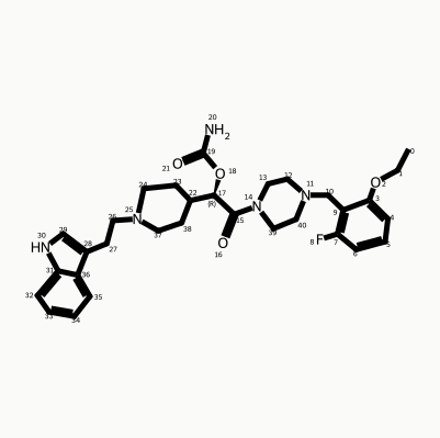 CCOc1cccc(F)c1CN1CCN(C(=O)[C@H](OC(N)=O)C2CCN(CCc3c[nH]c4ccccc34)CC2)CC1